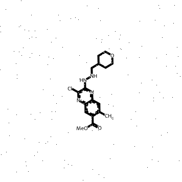 COC(=O)c1cc2nc(Cl)c(NNCC3CCOCC3)nc2cc1C